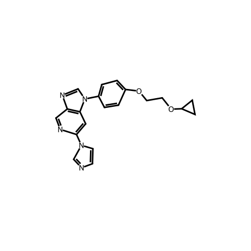 c1cn(-c2cc3c(cn2)ncn3-c2ccc(OCCOC3CC3)cc2)cn1